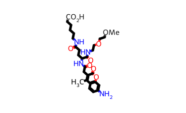 COCCOCCNC(=O)C(CCC(=O)NCCCCCC(=O)O)NC(=O)Cc1c(C)c2ccc(N)cc2oc1=O